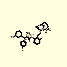 N[C@H](C(=O)Nc1cccc(F)c1CC[C@H]1C2CN2C2CCCS(=O)(=O)N1C2)[C@@H](c1ccc(Cl)cc1)C1CCCC(O)C1